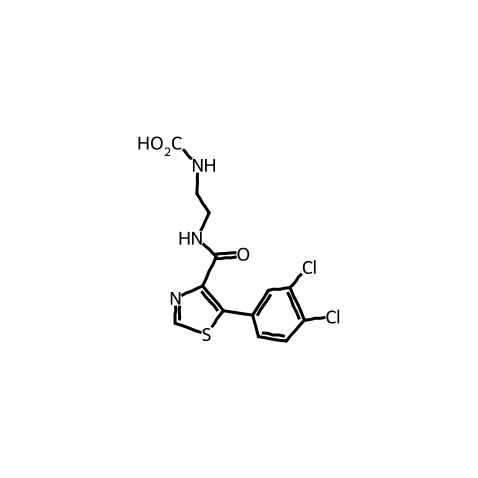 O=C(O)NCCNC(=O)c1ncsc1-c1ccc(Cl)c(Cl)c1